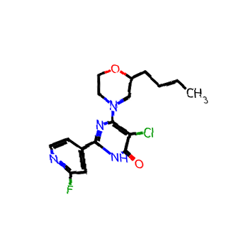 CCCCC1CN(c2nc(-c3ccnc(F)c3)[nH]c(=O)c2Cl)CCO1